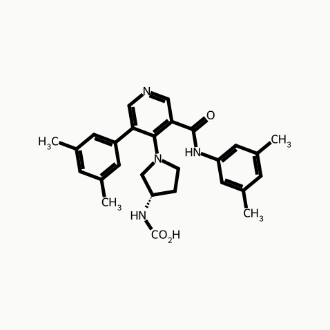 Cc1cc(C)cc(NC(=O)c2cncc(-c3cc(C)cc(C)c3)c2N2CC[C@H](NC(=O)O)C2)c1